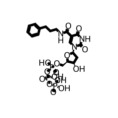 O=C(NCCCc1ccccc1)c1cn([C@H]2C[C@H](O)[C@@H](COP(=O)(O)OP(=O)(O)OP(=O)(O)O)O2)c(=O)[nH]c1=O